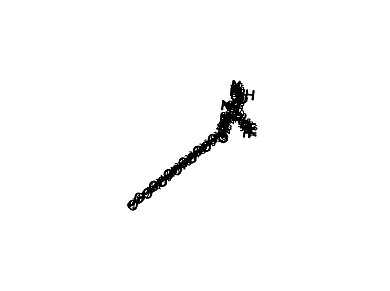 COCCOCCOCCOCCOCCOCCOCCOCCOCCOCCOCCOCCC(=O)N1CCN(c2cc(-c3cc(-c4ccc(C(F)(F)F)cc4)ccc3Oc3ccc(S(=O)(=O)Nc4ncns4)cc3C#N)ccn2)CC1